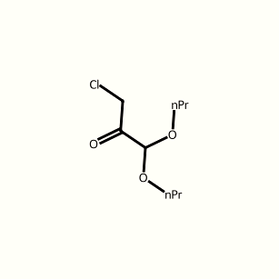 CCCOC(OCCC)C(=O)CCl